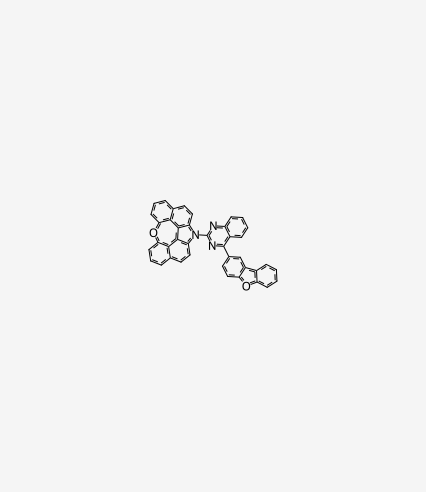 c1ccc2c(-c3ccc4oc5ccccc5c4c3)nc(-n3c4ccc5cccc6oc7cccc8ccc3c(c87)c4c56)nc2c1